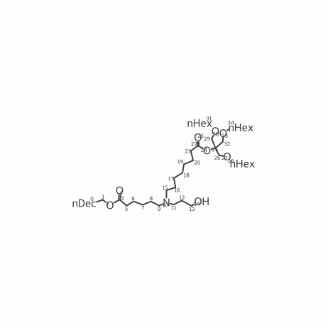 CCCCCCCCCCCOC(=O)CCCCCN(CCCO)CCCCCCCC(=O)OC(COCCCCCC)(COCCCCCC)COCCCCCC